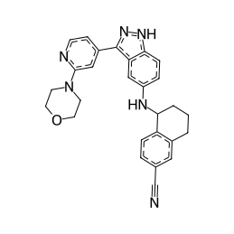 N#Cc1ccc2c(c1)CCCC2Nc1ccc2[nH]nc(-c3ccnc(N4CCOCC4)c3)c2c1